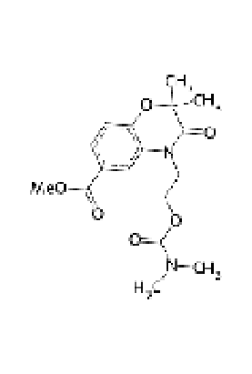 COC(=O)c1ccc2c(c1)N(CCOC(=O)N(C)C)C(=O)C(C)(C)O2